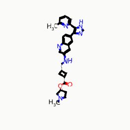 Cc1cccc(-c2[nH]cnc2-c2ccc3ncc(NC[C@H]4C[C@@H](C(=O)O[C@H]5CCN(C)C5)C4)cc3c2)n1